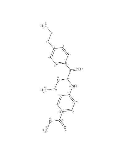 CCCc1ccc(C(=O)C(Nc2ccc(C(=O)OC)cc2)OCC)cc1